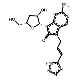 Nc1ncc2c(n1)n([C@@H]1O[C@H](CO)C[C@H]1O)c(=O)n2C/C=C/c1nnn[nH]1